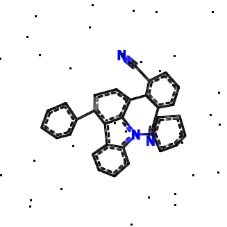 N#Cc1cccc(C#N)c1-c1ccc(-c2ccccc2)c2c3ccccc3n(-c3ccccc3)c12